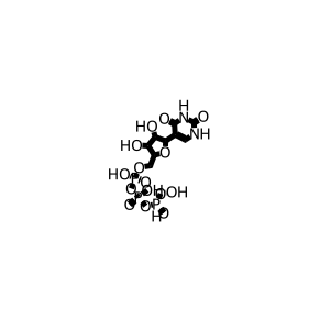 O=c1[nH]cc(C2OC(COP(=O)(O)OP(=O)(O)O[PH](=O)OO)C(O)C2O)c(=O)[nH]1